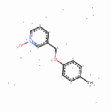 Cc1ccc(OCc2ccc[n+]([O-])c2)cc1